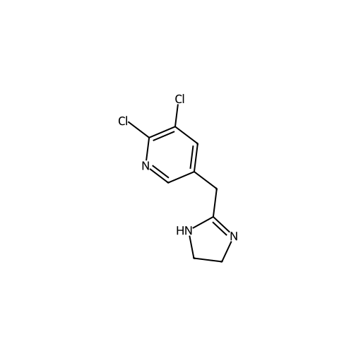 Clc1cc(CC2=NCCN2)cnc1Cl